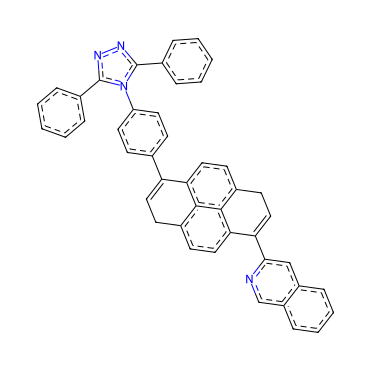 C1=C(c2ccc(-n3c(-c4ccccc4)nnc3-c3ccccc3)cc2)c2ccc3c4c(ccc(c24)C1)C(c1cc2ccccc2cn1)=CC3